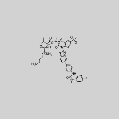 COc1cc(S(C)(=O)=O)ccc1N(C(=O)OC(C)OC(=O)[C@@H](NC(=O)[C@@H](N)CCCCN)C(C)C)c1nc2ccc(-c3ccc(NC(=O)[C@H](C)c4ccc(F)cc4)cc3)cn2n1